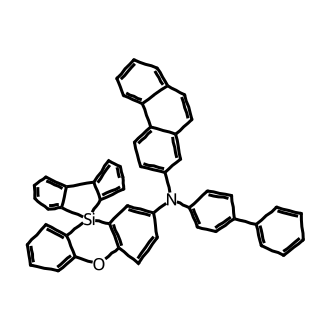 c1ccc(-c2ccc(N(c3ccc4c(c3)[Si]3(c5ccccc5O4)c4ccccc4-c4ccccc43)c3ccc4c(ccc5ccccc54)c3)cc2)cc1